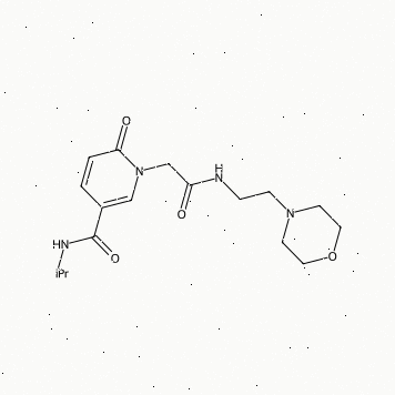 CC(C)NC(=O)c1ccc(=O)n(CC(=O)NCCN2CCOCC2)c1